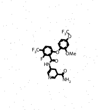 COc1cc(OC(F)(F)F)ccc1Oc1ccc(C(F)(F)F)c(F)c1C(=O)NC1=CN=CC(C(N)=O)C1